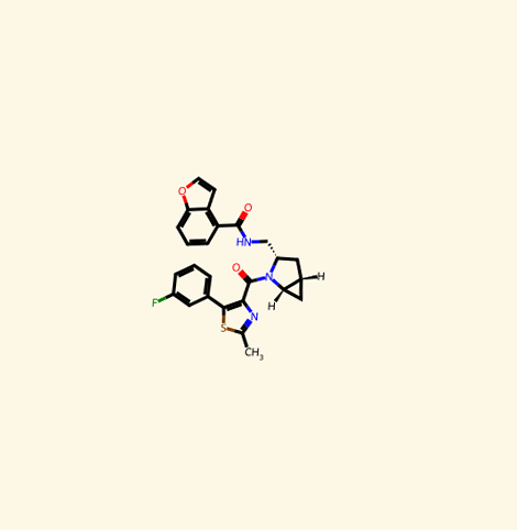 Cc1nc(C(=O)N2[C@H](CNC(=O)c3cccc4occc34)C[C@@H]3C[C@@H]32)c(-c2cccc(F)c2)s1